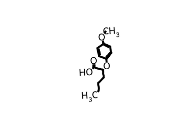 CCCCC(Oc1ccc(OC)cc1)C(=O)O